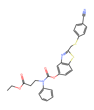 CCOC(=O)CCN(C(=O)Oc1ccc2sc(CSc3ccc(C#N)cc3)nc2c1)c1ccccc1